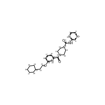 O=C(Nc1cnccn1)N1CCN(C(=O)c2cccc(OCCC3CCCCC3)n2)CC1